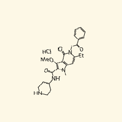 CCc1cc2c(c(OC)c(C(=O)NC3CCNCC3)n2C)c(=O)n1CC(=O)c1ccccc1.Cl